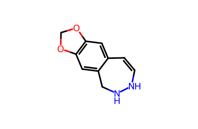 C1=Cc2cc3c(cc2CNN1)OCO3